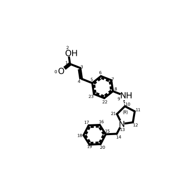 O=C(O)C=Cc1ccc(N[C@@H]2CCN(Cc3ccccc3)C2)cc1